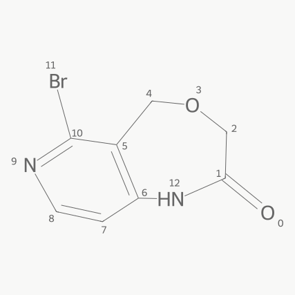 O=C1COCc2c(ccnc2Br)N1